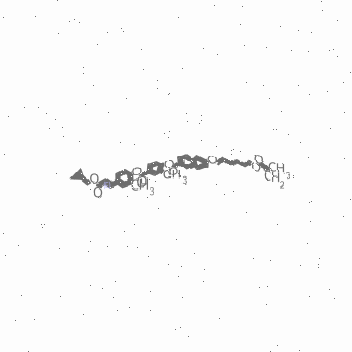 C=C(C)C(=O)OCCCCCCOc1ccc2cc(C(=O)Oc3ccc(C(=O)Oc4ccc(/C=C/C(=O)OCC5CC5)cc4C)cc3C)ccc2c1